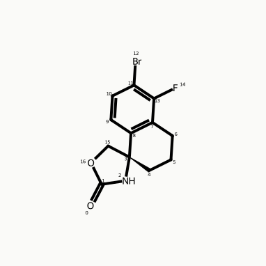 O=C1N[C@]2(CCCc3c2ccc(Br)c3F)CO1